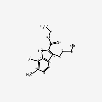 CCOC(=O)c1[nH]c2c(Br)c(C)ccc2c1CCCBr